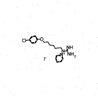 N=C(N)N(CCCCCCOc1ccc(Cl)cc1)[n+]1ccccc1.[I-]